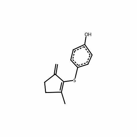 C=C1CCC(C)=C1Sc1ccc(O)cc1